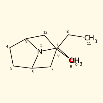 CCN1C2CCC1CC(O)(CC)C2